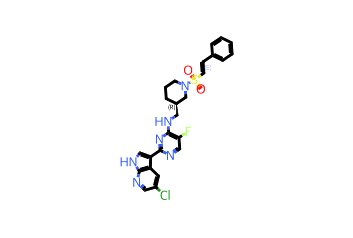 O=S(=O)(/C=C/c1ccccc1)N1CCC[C@H](CNc2nc(-c3c[nH]c4ncc(Cl)cc34)ncc2F)C1